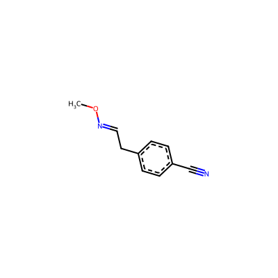 CON=CCc1ccc(C#N)cc1